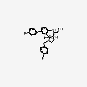 OC[C@@H]1Nc2ccc(-c3ccc(F)cc3)cc2[C@H]2[C@@H]1CCN2Cc1ccc(F)cc1